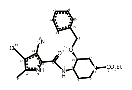 CCOC(=O)N1CC[C@@H](NC(=O)c2[nH]c(C)c(Cl)c2C#N)[C@@H](OCc2ccccc2)C1